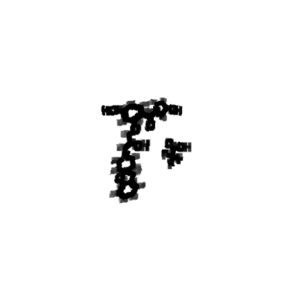 O=C(O)C(F)(F)F.O=C(c1ccc(O)cc1OC[C@@H](O)CN1CCC2(CC1)Cc1ccccc1O2)N1CC[C@H](O)C1